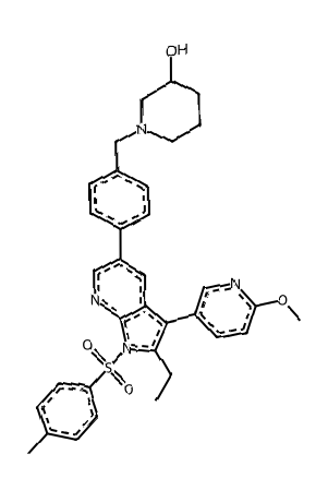 CCc1c(-c2ccc(OC)nc2)c2cc(-c3ccc(CN4CCCC(O)C4)cc3)cnc2n1S(=O)(=O)c1ccc(C)cc1